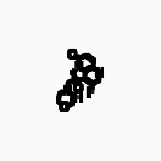 O=c1ccc2ncc(F)c3c2n1C[C@@]3(O)CN1CCOCC1